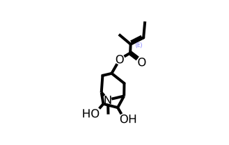 C/C=C(\C)C(=O)OC1CC2C(O)C(O)C(C1)N2C